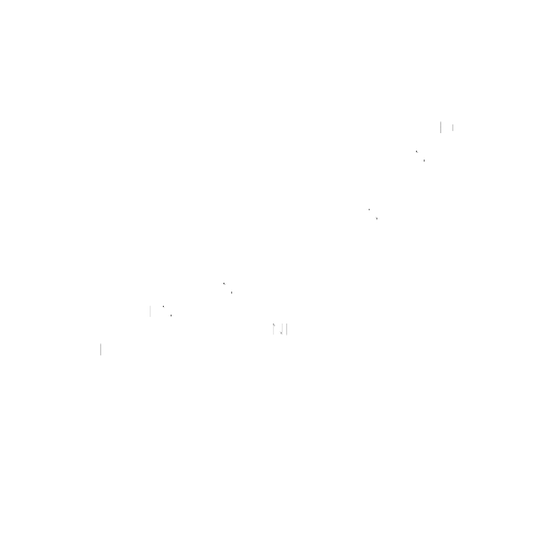 CCN1CCN(c2ccc(NC(/N=C\N)=C3\CCCC=C(C)C3)cc2)CC1